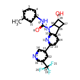 Cc1cccc(NC(=O)N2c3nc(-c4cncc(C(F)(F)F)c4)ccc3C3C[C@@H](O)C32)c1